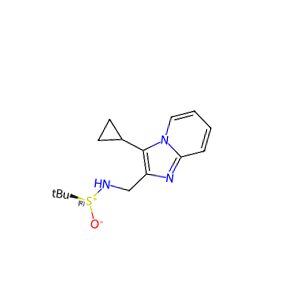 CC(C)(C)[S@+]([O-])NCc1nc2ccccn2c1C1CC1